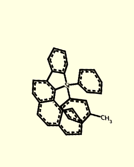 Cc1cccc([Si]2(c3ccccc3)c3ccccc3-c3ccc4ccc5ccccc5c4c32)c1